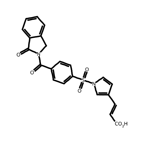 O=C(O)C=Cc1ccn(S(=O)(=O)c2ccc(C(=O)N3Cc4ccccc4C3=O)cc2)c1